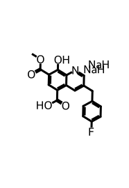 COC(=O)c1cc(C(=O)O)c2cc(Cc3ccc(F)cc3)cnc2c1O.[NaH].[NaH]